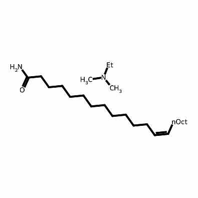 CCCCCCCC/C=C\CCCCCCCCCCCC(N)=O.CCN(C)C